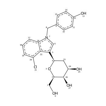 OC[C@H]1O[C@@H](c2cn(Cc3ccc(O)cc3)c3cccc(Cl)c23)C[C@@H](O)[C@H]1O